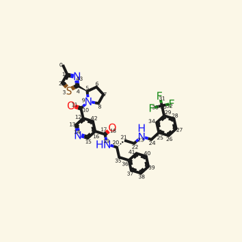 Cc1csc([C@H]2CCCN2C(=O)c2cncc(C(=O)N[C@H](CCNCc3cccc(C(F)(F)F)c3)Cc3ccccc3)c2)n1